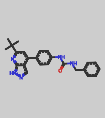 CC(C)(C)c1cc(-c2ccc(NC(=O)NCc3ccccc3)cc2)c2cn[nH]c2n1